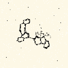 CC1(C)c2ccccc2-c2ccc(-c3cc4c5cccnc5ccc4c4ccccc34)cc21